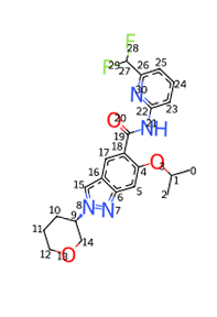 CC(C)Oc1cc2nn([C@@H]3CCCOC3)cc2cc1C(=O)Nc1cccc(C(F)F)n1